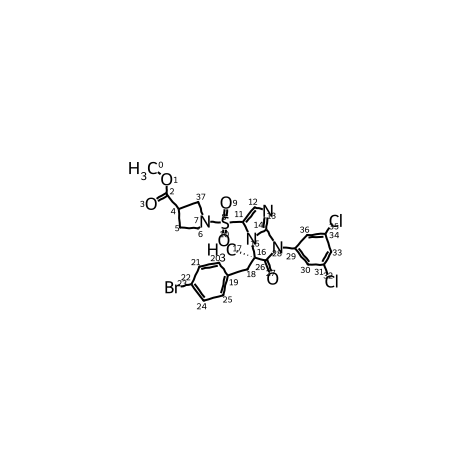 COC(=O)C1CCN(S(=O)(=O)c2cnc3n2[C@](C)(Cc2ccc(Br)cc2)C(=O)N3c2cc(Cl)cc(Cl)c2)C1